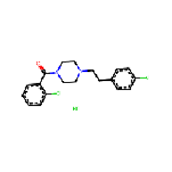 Cl.O=C(c1ccccc1Cl)N1CCN(CCc2ccc(Cl)cc2)CC1